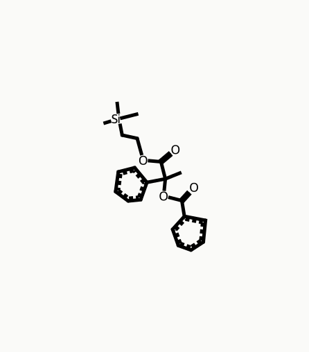 CC(OC(=O)c1ccccc1)(C(=O)OCC[Si](C)(C)C)c1ccccc1